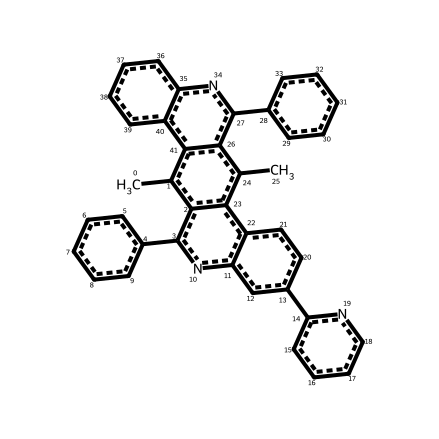 Cc1c2c(-c3ccccc3)nc3cc(-c4ccccn4)ccc3c2c(C)c2c(-c3ccccc3)nc3ccccc3c12